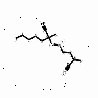 CCCCCC(C)(C#N)N=NCCC(C)C#N